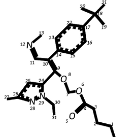 CCCCC(=O)OCO/C(=C(/C=N\C)c1ccc(C(C)(C)C)cc1)c1cc(C)nn1CC